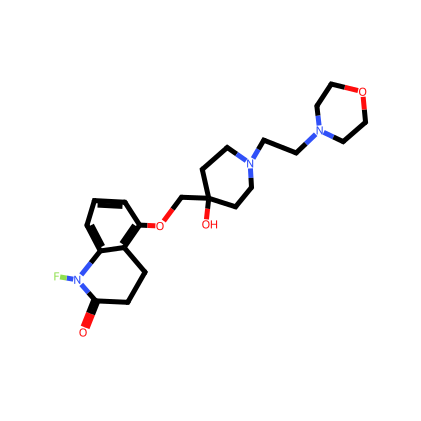 O=C1CCc2c(OCC3(O)CCN(CCN4CCOCC4)CC3)cccc2N1F